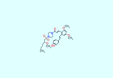 CCCCC(CS(=O)(=O)N1CCN(C(=O)C=Cc2c(C=Cc3ccc(O)cc3)cc(OC)cc2OC)CC1)OC